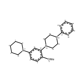 COc1ccc(N2CCCCC2)cc1N1CCN(c2ncccn2)CC1